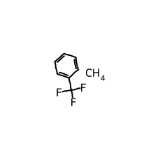 C.FC(F)(F)c1ccccc1